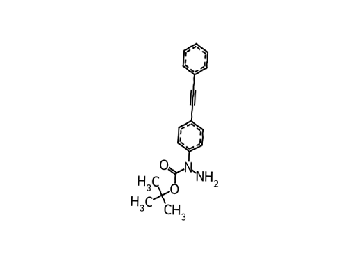 CC(C)(C)OC(=O)N(N)c1ccc(C#Cc2ccccc2)cc1